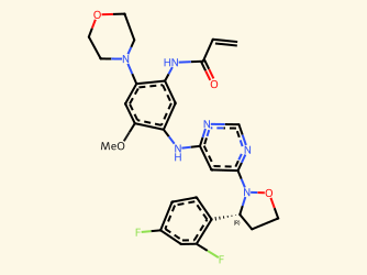 C=CC(=O)Nc1cc(Nc2cc(N3OCC[C@@H]3c3ccc(F)cc3F)ncn2)c(OC)cc1N1CCOCC1